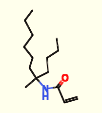 C=CC(=O)NC(C)(CCCC)CCCCCC